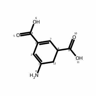 NC1=CC(C(=O)O)=CC(C(=O)O)C1